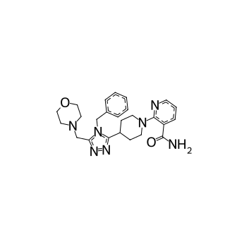 NC(=O)c1cccnc1N1CCC(c2nnc(CN3CCOCC3)n2Cc2ccccc2)CC1